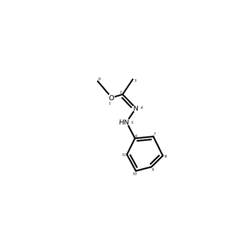 COC(C)=NNc1ccccc1